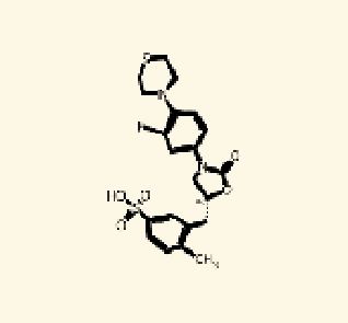 Cc1ccc(S(=O)(=O)O)cc1C[C@@H]1CN(c2ccc(N3CCSCC3)c(F)c2)C(=O)O1